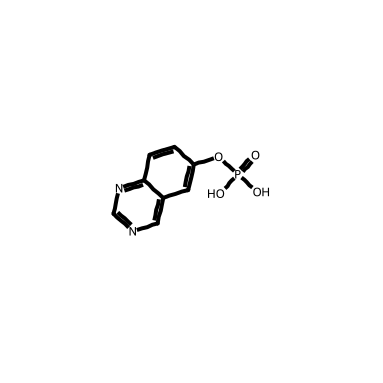 O=P(O)(O)Oc1ccc2ncncc2c1